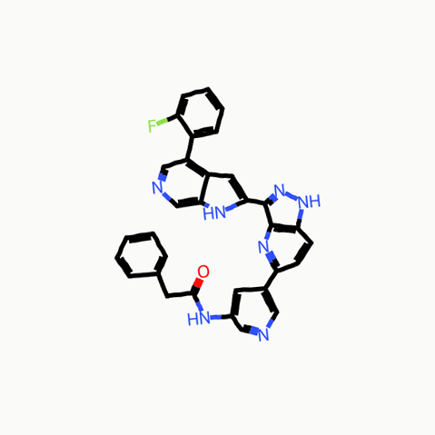 O=C(Cc1ccccc1)Nc1cncc(-c2ccc3[nH]nc(-c4cc5c(-c6ccccc6F)cncc5[nH]4)c3n2)c1